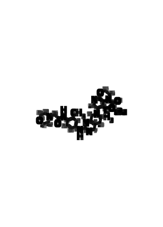 Cc1cc(Nc2ncc3c(n2)CN(c2cnc4c(c2C)N(C(=O)OC(C)(C)C)CCO4)CC3)ccc1NC(=O)CN1CCOCC1